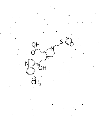 COc1ccc2nccc([C@H](O)CC[C@@H]3CCN(CCSc4ccoc4)C[C@H]3CCC(=O)O)c2c1